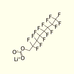 O=C([O-])OCC(F)(F)C(F)(F)C(F)(F)C(F)(F)C(F)(F)C(F)(F)C(F)(F)F.[Li+]